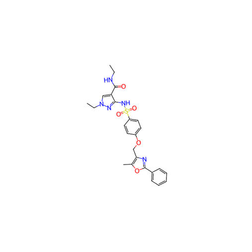 CCNC(=O)c1cn(CC)nc1NS(=O)(=O)c1ccc(OCc2nc(-c3ccccc3)oc2C)cc1